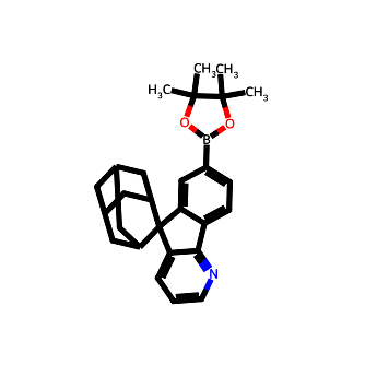 CC1(C)OB(c2ccc3c(c2)C2(c4cccnc4-3)C3CC4CC(C3)CC2C4)OC1(C)C